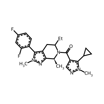 CCC1Cc2c(nn(C)c2-c2ccc(F)cc2F)[C@H](C)N1C(=O)c1cnn(C)c1C1CC1